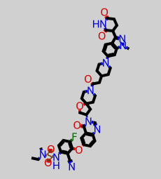 CCN(C)S(=O)(=O)Nc1ccc(F)c(Oc2ccc3ncn([C@H]4COC5(CCN(C(=O)CC6CCN(c7ccc8c(C9CCC(=O)NC9=O)nn(C)c8c7)CC6)CC5)C4)c(=O)c3c2)c1C#N